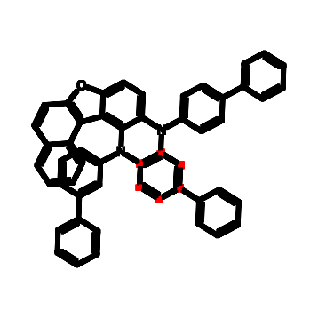 c1ccc(-c2ccc(N(c3ccccc3)c3ccc4oc5ccc6ccccc6c5c4c3N(c3ccc(-c4ccccc4)cc3)c3cccc(-c4ccccc4)c3)cc2)cc1